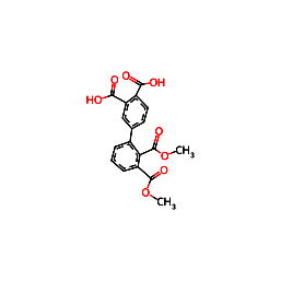 COC(=O)c1cccc(-c2ccc(C(=O)O)c(C(=O)O)c2)c1C(=O)OC